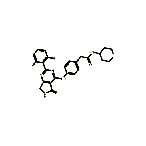 O=C(Cc1ccc(Nc2nc(-c3c(F)cccc3F)nc3c2C(=O)NC3)cc1)NC1CCOCC1